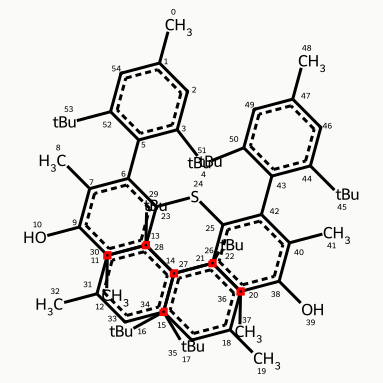 Cc1cc(C(C)(C)C)c(-c2c(C)c(O)c(C)c(-c3c(C(C)(C)C)cc(C)cc3C(C)(C)C)c2Sc2c(-c3c(C(C)(C)C)cc(C)cc3C(C)(C)C)c(C)c(O)c(C)c2-c2c(C(C)(C)C)cc(C)cc2C(C)(C)C)c(C(C)(C)C)c1